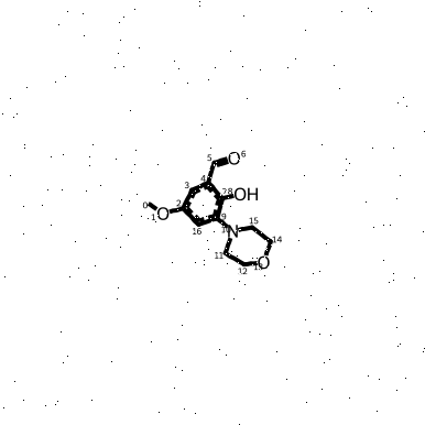 COc1cc(C=O)c(O)c(N2CCOCC2)c1